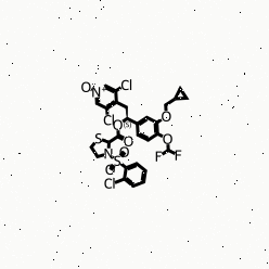 O=C(O[C@@H](Cc1c(Cl)c[n+]([O-])cc1Cl)c1ccc(OC(F)F)c(OCC2CC2)c1)C1SCCN1S(=O)(=O)c1ccccc1Cl